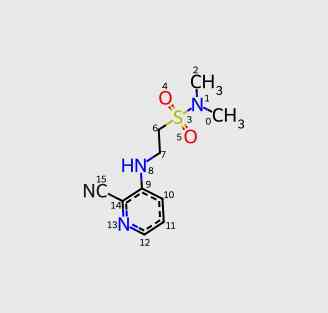 CN(C)S(=O)(=O)CCNc1cccnc1C#N